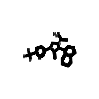 NC(=O)[C@H]1CN(c2ccc(C(F)(F)F)nc2)C(=O)N1c1cncc2ccccc12